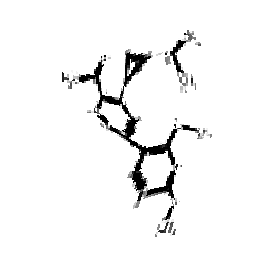 COc1ncc(-c2cc([C@H]3C[C@@H]3C(C)C)c(C(C)=O)nn2)c(OC)n1